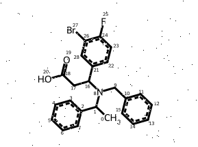 CC(c1ccccc1)N(Cc1ccccc1)C(CC(=O)O)c1ccc(F)c(Br)c1